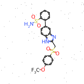 NS(=O)(=O)c1ccccc1-c1ccc2[nH]c(CS(=O)(=O)c3ccc(OC(F)(F)F)cc3)nc2c1